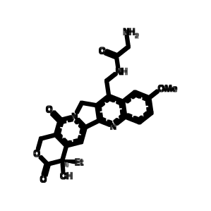 CC[C@@]1(O)C(=O)OCc2c1cc1n(c2=O)Cc2c-1nc1ccc(OC)cc1c2CNC(=O)CN